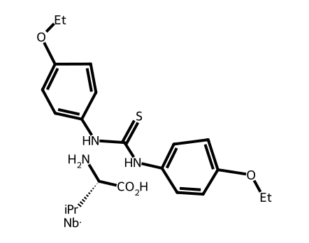 CC(C)[C@H](N)C(=O)O.CCOc1ccc(NC(=S)Nc2ccc(OCC)cc2)cc1.[Nb]